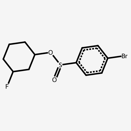 O=S(OC1CCCC(F)C1)c1ccc(Br)cc1